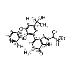 CCNC(=O)c1cc2c(-c3cc(C(C)(C)O)ccc3Oc3c(C)ccnc3C)cn(C)c(=O)c2[nH]1